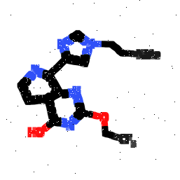 CNCCn1cnc(-c2nccc3c(O)nc(OCC(F)(F)F)nc23)c1